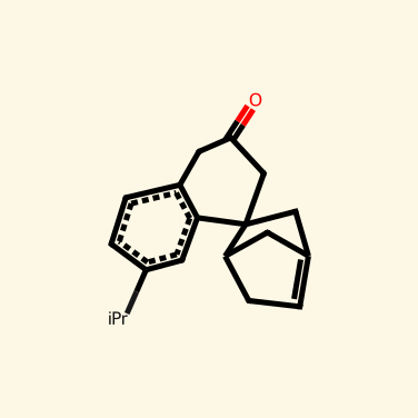 CC(C)c1ccc2c(c1)C1(CC(=O)C2)CC2=CCC1C2